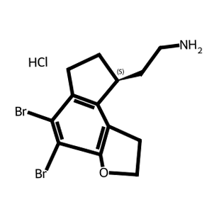 Cl.NCC[C@@H]1CCc2c(Br)c(Br)c3c(c21)CCO3